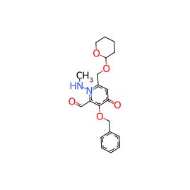 CNn1c(COC2CCCCO2)cc(=O)c(OCc2ccccc2)c1C=O